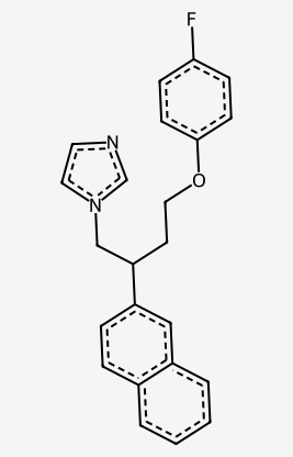 Fc1ccc(OCCC(Cn2ccnc2)c2ccc3ccccc3c2)cc1